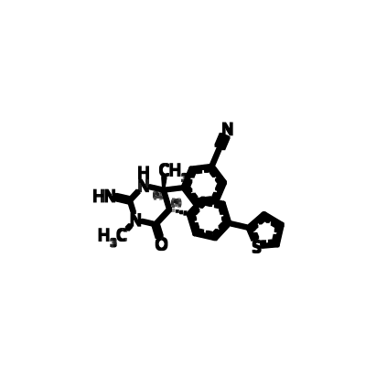 CN1C(=N)N[C@](C)(c2cccc(C#N)c2)[C@H](c2ccc(-c3cccs3)cc2)C1=O